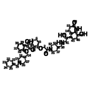 O=C(COc1cccc(C(O)(C(=O)OCC2CCN(Cc3ccccc3)CC2)c2ccccc2)c1)N1CCC(CNC[C@H](O)c2ccc(O)c3[nH]c(=O)ccc23)CC1